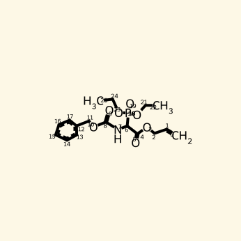 C=CCOC(=O)C(NC(=O)OCc1ccccc1)P(=O)(OCC)OCC